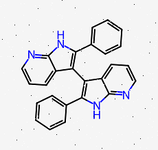 c1ccc(-c2[nH]c3ncccc3c2-c2c(-c3ccccc3)[nH]c3ncccc23)cc1